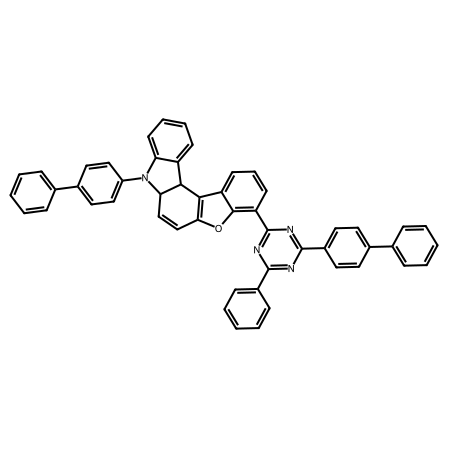 C1=CC2C(c3ccccc3N2c2ccc(-c3ccccc3)cc2)c2c1oc1c(-c3nc(-c4ccccc4)nc(-c4ccc(-c5ccccc5)cc4)n3)cccc21